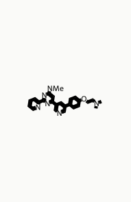 CNc1cc(-c2cncc(-c3ccc(OCCN(C)C)cc3)c2)nc(-c2ccccn2)n1